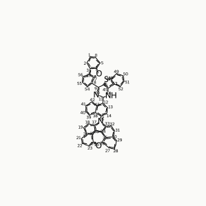 c1ccc2c(c1)oc1c(C3=NC(c4ccc(-n5c6ccc7cccc8oc9cccc%10ccc5c(c%109)c6c78)c5ccccc45)Nc4c3sc3ccccc43)cccc12